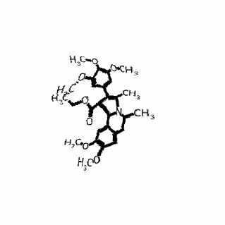 CCOC(=O)c1c(-c2cc(OC)c(OC)c(OC)c2)c(C)n2c1-c1cc(OC)c(OC)cc1CC2C